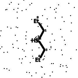 CCC[SiH]CCC